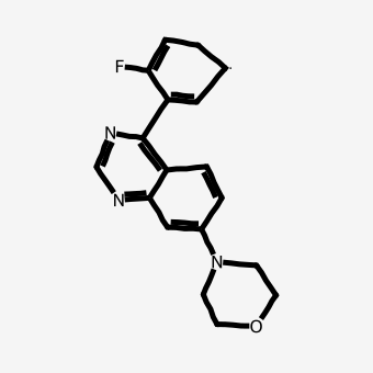 FC1=CC[CH]C=C1c1ncnc2cc(N3CCOCC3)ccc12